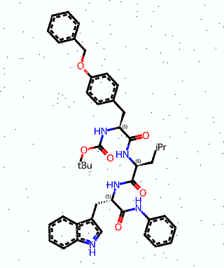 CC(C)C[C@H](NC(=O)[C@H](Cc1ccc(OCc2ccccc2)cc1)NC(=O)OC(C)(C)C)C(=O)N[C@@H](Cc1c[nH]c2ccccc12)C(=O)Nc1ccccc1